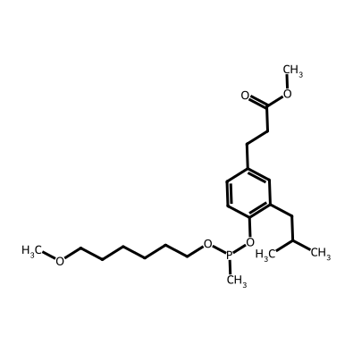 COCCCCCCOP(C)Oc1ccc(CCC(=O)OC)cc1CC(C)C